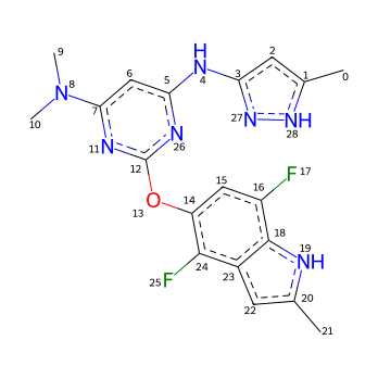 Cc1cc(Nc2cc(N(C)C)nc(Oc3cc(F)c4[nH]c(C)cc4c3F)n2)n[nH]1